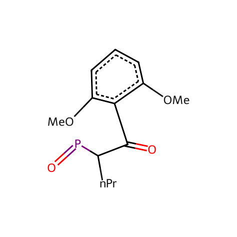 CCCC(P=O)C(=O)c1c(OC)cccc1OC